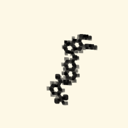 COc1cc2nccc(Oc3ccc4cc(NC(=O)c5cccc(S(C)(=O)=O)c5)ccc4c3)c2cc1OC